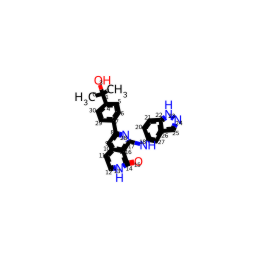 CC(C)(O)c1ccc(-c2cc3cc[nH]c(=O)c3c(Nc3ccc4[nH]ncc4c3)n2)cc1